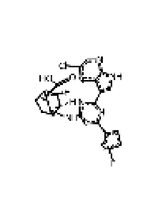 O=C(O)[C@H]1C2CCC(CC2)[C@@H]1Nc1cc(-c2ccc(F)s2)nc(-c2c[nH]c3ncc(Cl)nc23)n1